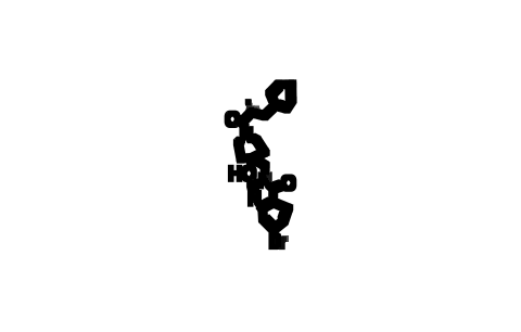 C[C@H](Cc1ccccc1)C(=O)N1CCC(O)(Cn2cnc3cc(Br)ccc3c2=O)CC1